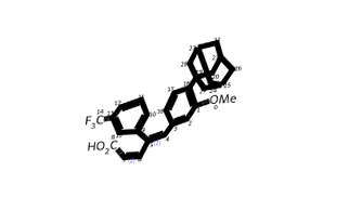 COc1cc(/C=C(/C=C\C(=O)O)c2cccc(C(F)(F)F)c2)ccc1C12CC3CC(CC(C3)C1)C2